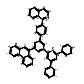 c1ccc(-c2cc(-c3ccccc3)nc(-c3cc(-c4ccc(-c5nccc6ccccc56)cc4)cc(-c4cc5ccccc5c5ccccc45)c3)c2)cc1